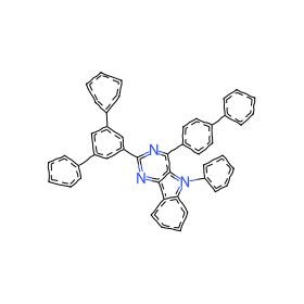 c1ccc(-c2ccc(-c3nc(-c4cc(-c5ccccc5)cc(-c5ccccc5)c4)nc4c5ccccc5n(-c5ccccc5)c34)cc2)cc1